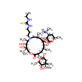 CC[C@H]1OC(=O)[C@H](C)[C@@H](O[C@H]2C[C@@](C)(OC)[C@@H](O)[C@H](C)O2)[C@H](C)[C@@H](O[C@@H]2O[C@H](C)C[C@H](N(C)C)[C@H]2O)[C@](C)(O)C[C@@H](C)CN(CCCNC(=S)NCC(C)C)[C@H](C)[C@@H](O)[C@]1(C)O